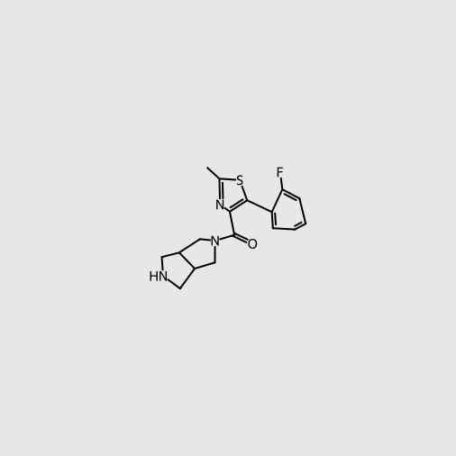 Cc1nc(C(=O)N2CC3CNCC3C2)c(-c2ccccc2F)s1